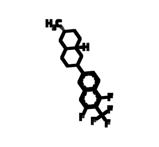 C[C@@H]1CC[C@@H]2CC(c3ccc4c(F)c(C(F)(F)F)c(F)cc4c3)CCC2C1